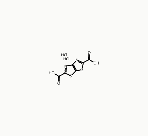 Cl.Cl.O=C(O)c1nc2nc(C(=O)O)sc2s1